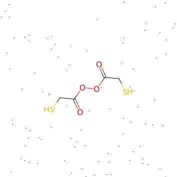 O=C(CS)OOC(=O)CS